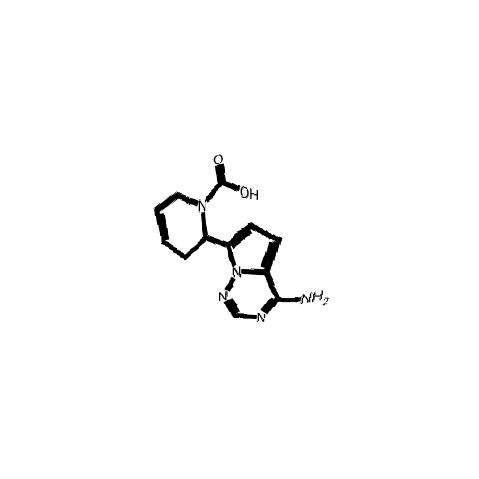 Nc1ncnn2c(C3CC=CCN3C(=O)O)ccc12